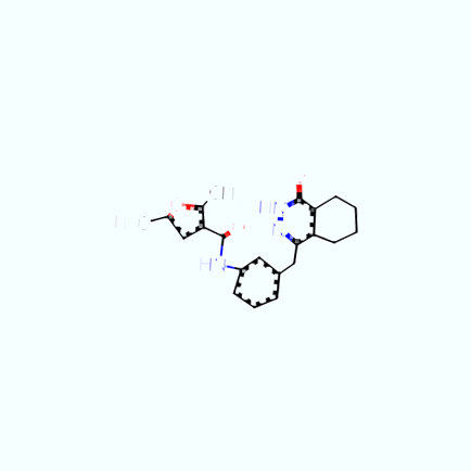 Cc1cc(C(=O)Nc2cccc(Cc3n[nH]c(=O)c4c3CCCC4)c2)c(C)o1